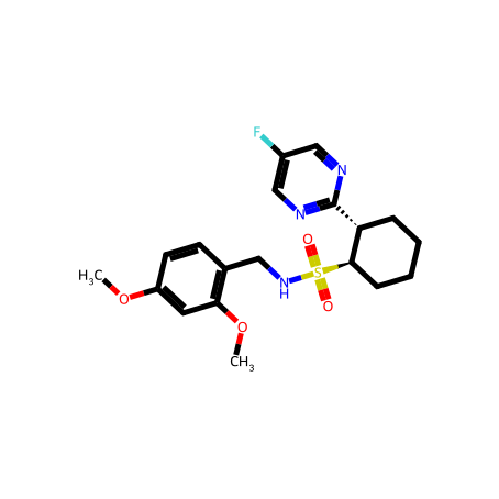 COc1ccc(CNS(=O)(=O)[C@@H]2CCCC[C@H]2c2ncc(F)cn2)c(OC)c1